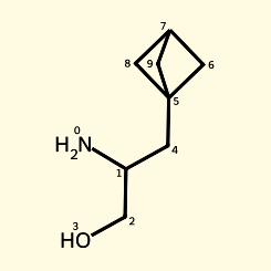 NC(CO)CC12CC(C1)C2